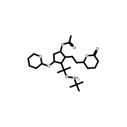 CC(=O)OC1CC(OC2CCCCO2)C(C(C)(C)O[SiH2]C(C)(C)C)C1CCC1CCCC(=O)O1